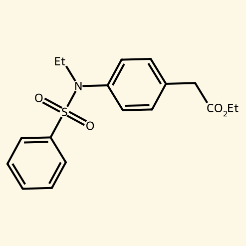 CCOC(=O)Cc1ccc(N(CC)S(=O)(=O)c2ccccc2)cc1